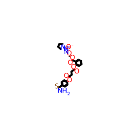 NC(=S)c1ccc(OC(=O)CCC(=O)Oc2ccccc2C(=O)OCO/N=[N+](\[O-])N2CCCC2)cc1